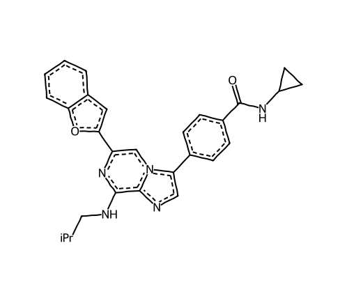 CC(C)CNc1nc(-c2cc3ccccc3o2)cn2c(-c3ccc(C(=O)NC4CC4)cc3)cnc12